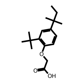 CCC(C)(C)c1ccc(OCC(=O)O)c(C(C)(C)C)c1